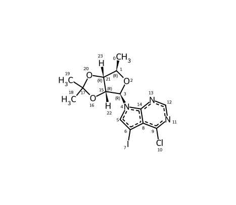 C[C@H]1O[C@@H](n2cc(I)c3c(Cl)ncnc32)[C@@H]2OC(C)(C)O[C@@H]21